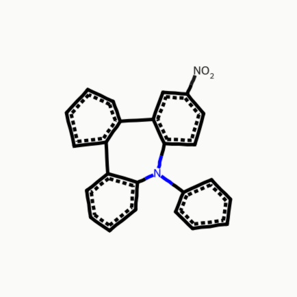 O=[N+]([O-])c1ccc2c(c1)-c1ccccc1-c1ccccc1N2c1ccccc1